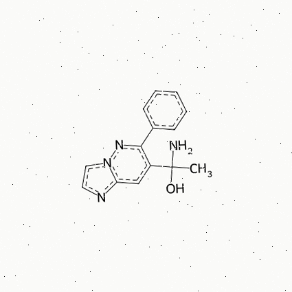 CC(N)(O)c1cc2nccn2nc1-c1ccccc1